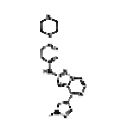 CN1CCN(c2ccc(Nc3nc4c(-c5cnn(C)c5)nccn4n3)cc2)CC1